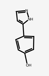 Oc1ccc(-c2c[c]n[nH]2)cc1